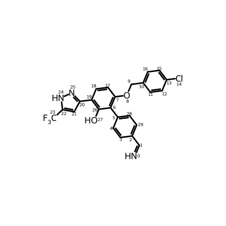 N=Cc1ccc(-c2c(OCc3ccc(Cl)cc3)ccc(-c3cc(C(F)(F)F)[nH]n3)c2O)cc1